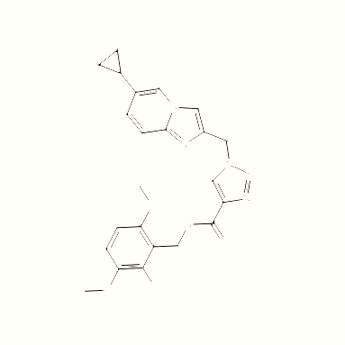 COc1ccc(SC)c(CNC(=O)c2cn(Cc3cn4cc(C5CC5)ccc4n3)nn2)c1F